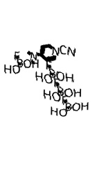 CN(C)C1=CCN(C#N)C=C1.OB(O)F.OB(O)F.OB(O)F.OB(O)F